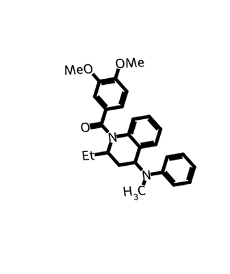 CCC1CC(N(C)c2ccccc2)c2ccccc2N1C(=O)c1ccc(OC)c(OC)c1